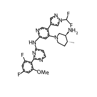 COc1cc(F)cc(F)c1-c1nccc(Nc2cc(N3CC[C@@H](C)[C@H](N)C3)c(-c3cnn(C(F)F)c3)cn2)n1